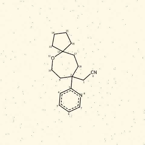 N#CCC1(c2ccccn2)CCOC2(CCCC2)CC1